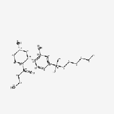 CCCCCCC(C)(C)c1ccc([C@H]2C[C@@H](O)CCN2C(=O)CCO)c(O)c1